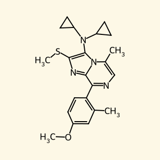 COc1ccc(-c2ncc(C)n3c(N(C4CC4)C4CC4)c(SC)nc23)c(C)c1